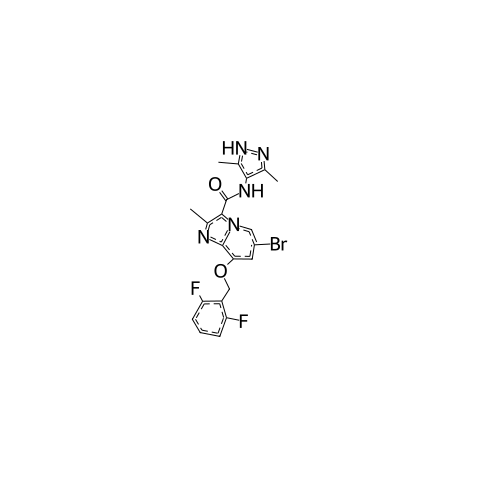 Cc1n[nH]c(C)c1NC(=O)c1c(C)nc2c(OCc3c(F)cccc3F)cc(Br)cn12